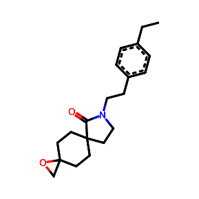 CCc1ccc(CCN2CCC3(CCC4(CC3)CO4)C2=O)cc1